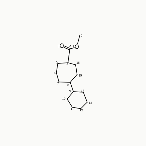 COC(=O)C1CCCC(C2CCCCC2)CC1